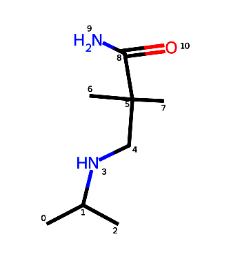 CC(C)NCC(C)(C)C(N)=O